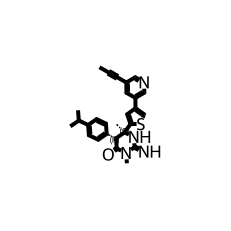 CC#Cc1cncc(-c2csc([C@@]3(C)NC(=N)N(C)C(=O)[C@@H]3c3ccc(C(C)C)cc3)c2)c1